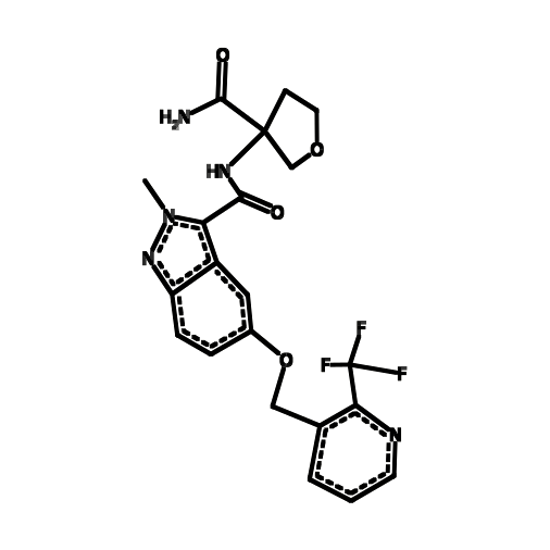 Cn1nc2ccc(OCc3cccnc3C(F)(F)F)cc2c1C(=O)NC1(C(N)=O)CCOC1